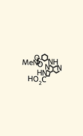 CNS(=O)(=O)c1cccc(Nc2nc3[nH]c(C(=O)O)cc3c3ccncc23)c1